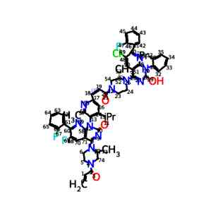 C=CC(=O)N1CCN(c2nc(=O)n(-c3c(C(C)C)cc(/C=C\C(=O)N4CCN(C5=NC(O)N(c6ccccc6C(C)C)c6nc(-c7ccccc7F)c(Cl)cc65)[C@@H](C)C4)nc3C)c3nc(-c4ccccc4F)c(F)cc23)[C@@H](C)C1